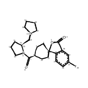 O=C1O[C@]2(CC[C@H](C(=O)N3CCC[C@H]3CN3CCCC3)CC2)c2ccc(F)cc21